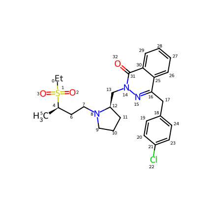 CCS(=O)(=O)[C@H](C)CCN1CCC[C@@H]1Cn1nc(Cc2ccc(Cl)cc2)c2ccccc2c1=O